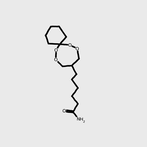 NC(=O)CCCCCC1COOC2(CCCCC2)OOC1